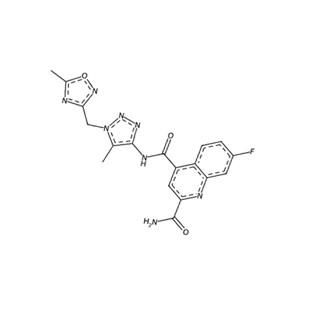 Cc1nc(Cn2nnc(NC(=O)c3cc(C(N)=O)nc4cc(F)ccc34)c2C)no1